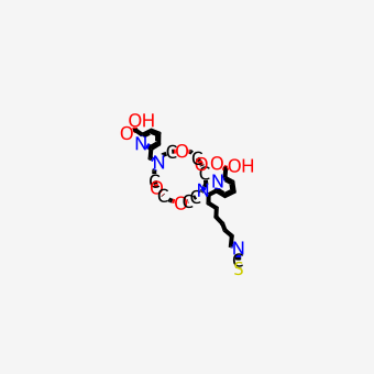 O=C(O)c1cccc(CN2CCOCCOCCN(C(CCCCCCCN=C=S)c3cccc(C(=O)O)n3)CCOCCOCC2)n1